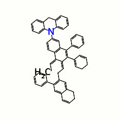 C=C/C=c1\c(=C/Cc2cc3c(cc2-c2ccccc2)C=CCC3)c(C2=CCCC=C2)c(-c2ccccc2)c2cc(N3c4ccccc4Cc4ccccc43)ccc12